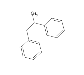 CC(Cc1[c]cccc1)c1ccccc1